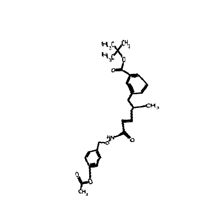 CC(=O)Oc1ccc(CONC(=O)CCC(C)Cc2cccc(C(=O)OC(C)(C)C)c2)cc1